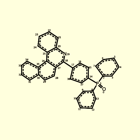 O=P(c1ccccc1)(c1ccccc1)c1ccc(-c2nc3ccccc3c3c2ccc2ccccc23)cc1